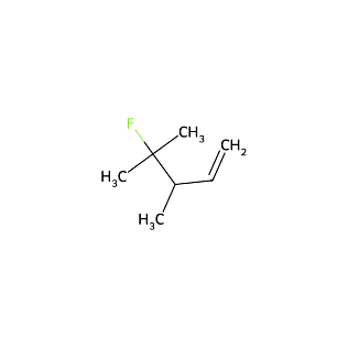 C=CC(C)C(C)(C)F